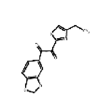 CCc1csc(C(=O)C(=O)c2ccc3c(c2)OCO3)n1